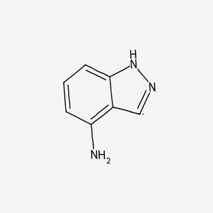 Nc1cccc2[nH]n[c]c12